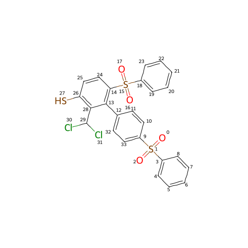 O=S(=O)(c1ccccc1)c1ccc(-c2c(S(=O)(=O)c3ccccc3)ccc(S)c2C(Cl)Cl)cc1